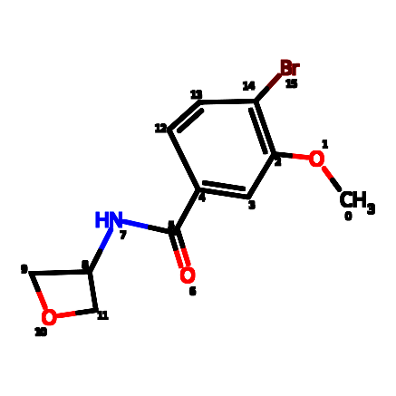 COc1cc(C(=O)NC2COC2)ccc1Br